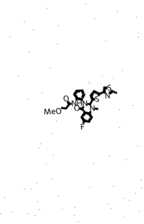 COCCC(=O)Nc1ccccc1N1C(=O)c2cc(F)ccc2N(C)C1c1ccc(-c2csc(C)n2)s1